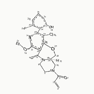 C=CC(=O)N1CCN2C(=O)c3c(OCC)nc(-c4c(O)cccc4F)c(Cl)c3OC[C@H]2C1